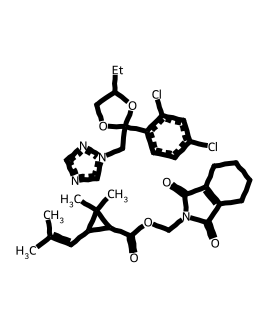 CC(C)=CC1C(C(=O)OCN2C(=O)C3=C(CCCC3)C2=O)C1(C)C.CCC1COC(Cn2cncn2)(c2ccc(Cl)cc2Cl)O1